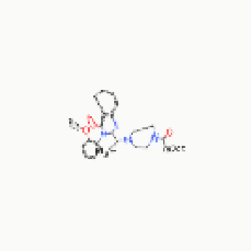 CCCCCCCCC(=O)N1CCN(C(C)c2nc3ccccc3c(=O)n2-c2ccccc2OCC)CC1